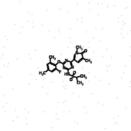 Cc1cc(C)c(Oc2nc(NS(=O)(=O)C(C)C)nc(-c3cc(C)c(=O)n(C)c3)n2)c(F)c1